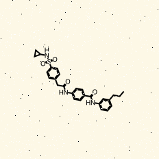 CCCc1cccc(NC(=O)c2ccc(NC(=O)Cc3ccc(S(=O)(=O)NC4CC4)cc3)cc2)c1